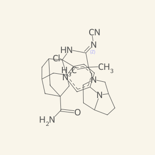 CC(C)(/C(=N/C#N)NC1C2CC3CC1CC(C(N)=O)(C3)C2)N1CCC2CCC(C1)N2c1ccc(Cl)nc1